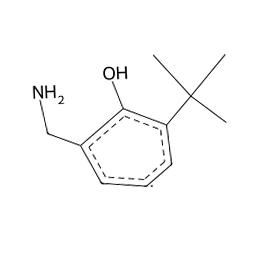 CC(C)(C)c1c[c]cc(CN)c1O